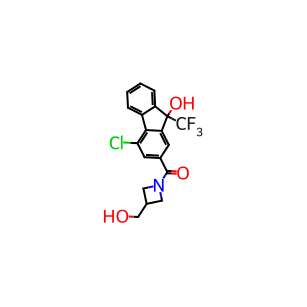 O=C(c1cc(Cl)c2c(c1)C(O)(C(F)(F)F)c1ccccc1-2)N1CC(CO)C1